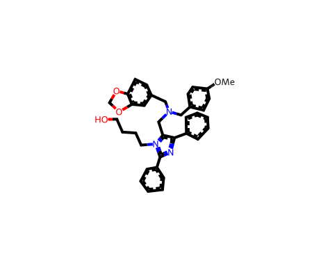 COc1ccc(CN(Cc2ccc3c(c2)OCO3)Cc2c(-c3ccccc3)nc(-c3ccccc3)n2CCCCO)cc1